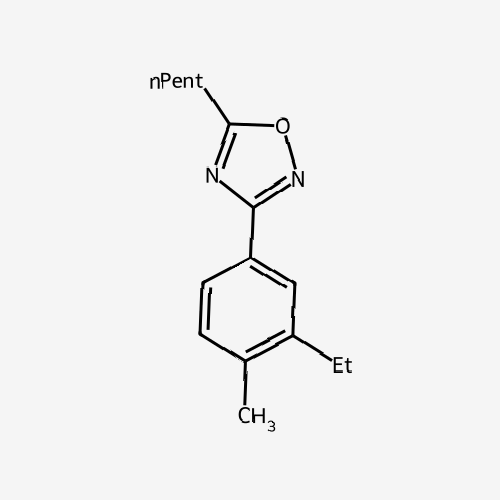 [CH2]CCCCc1nc(-c2ccc(C)c(CC)c2)no1